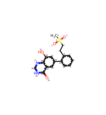 CS(=O)(=O)CCc1ccccc1-c1cc(O)c2nc[nH]c(=O)c2c1